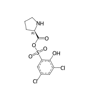 O=C(OS(=O)(=O)c1cc(Cl)cc(Cl)c1O)[C@H]1CCCN1